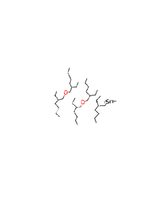 CCCCC(CC)COCC(CC)CCCC.CCCCC(CC)COCC(CC)CCCC.CCCCC(CC)[CH2][Sn][CH3]